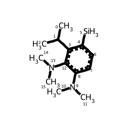 CC(C)c1c([SiH3])ccc(N(C)C)c1N(C)C